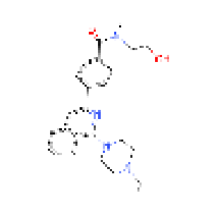 CCN1CCN(c2nc(-c3ccc(C(=O)N(C)CCO)cc3)cc3ccccc23)CC1